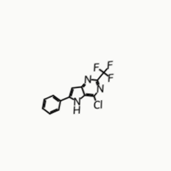 FC(F)(F)c1nc(Cl)c2[nH]c(-c3ccccc3)cc2n1